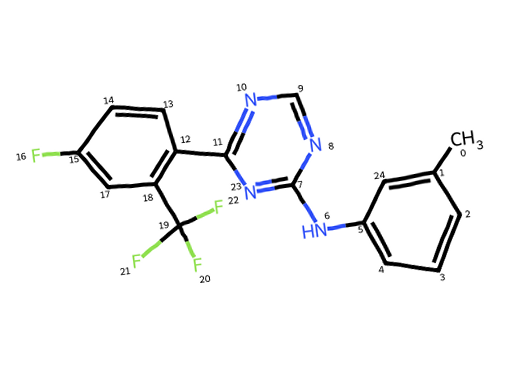 Cc1cccc(Nc2ncnc(-c3ccc(F)cc3C(F)(F)F)n2)c1